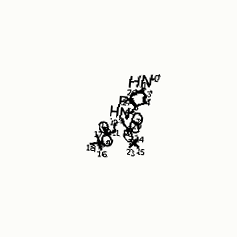 CNc1ccc(C(=O)N[C@@H](CCC(=O)OC(C)(C)C)C(=O)OC(C)(C)C)c(F)c1